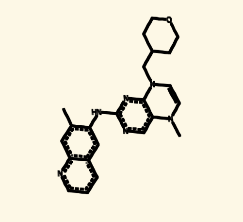 Cc1cc2ncccc2cc1Nc1ncc2c(n1)N(CC1CCOCC1)C=CN2C